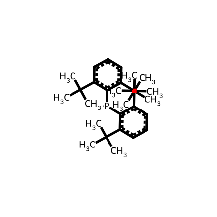 CC(C)(C)c1cccc(C(C)(C)C)c1[P]c1c(C(C)(C)C)cccc1C(C)(C)C